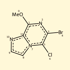 COc1nc(Br)c(Cl)n2ccnc12